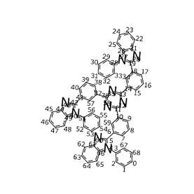 c1ccc(-n2c(-c3cccc(-c4nc(-c5cccc(-c6nc7ccccc7n6-c6ccccc6)c5)nc(-c5cccc(-c6nc7ccccc7n6-c6ccccc6)c5)n4)c3)nc3ccccc32)cc1